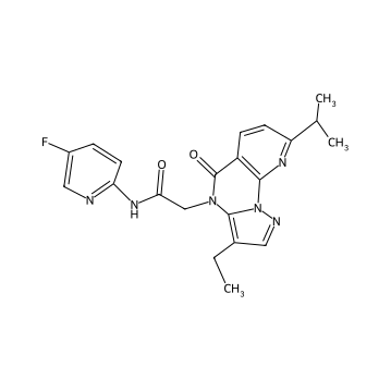 CCc1cnn2c3nc(C(C)C)ccc3c(=O)n(CC(=O)Nc3ccc(F)cn3)c12